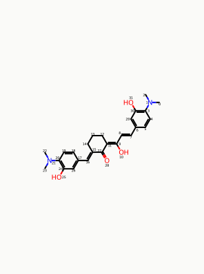 CN(C)c1ccc(C=CC(O)=C2CCCC(=Cc3ccc(N(C)C)c(O)c3)C2=O)cc1O